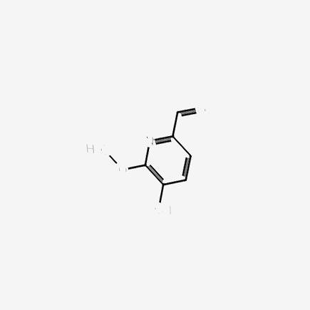 COc1nc(C=O)ccc1O